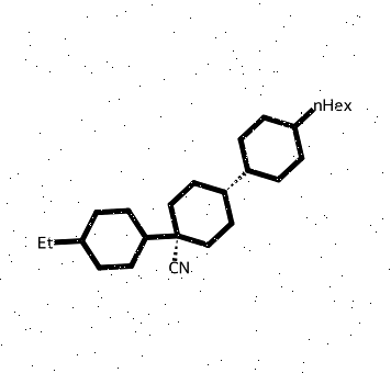 CCCCCCC1CCC([C@H]2CC[C@](C#N)(C3CCC(CC)CC3)CC2)CC1